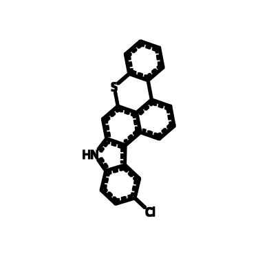 Clc1ccc2[nH]c3cc4c5c(cccc5c3c2c1)-c1ccccc1S4